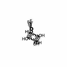 O=C(O)CN1CCN(C(CO)C(=O)O)CCN(CC(=O)O)CCN(C(Cc2ccc(OCC(F)(F)C(F)F)cc2)C(=O)O)CC1